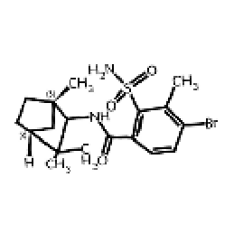 Cc1c(Br)ccc(C(=O)NC2C(C)(C)[C@@H]3CC[C@@]2(C)C3)c1S(N)(=O)=O